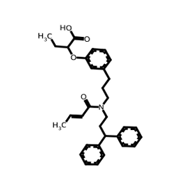 C/C=C/C(=O)N(CCCc1cccc(OC(CC)C(=O)O)c1)CCC(c1ccccc1)c1ccccc1